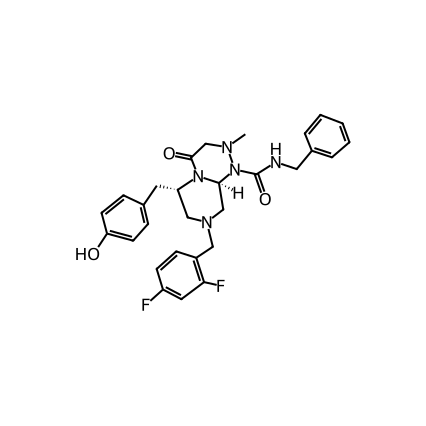 CN1CC(=O)N2[C@@H](Cc3ccc(O)cc3)CN(Cc3ccc(F)cc3F)C[C@@H]2N1C(=O)NCc1ccccc1